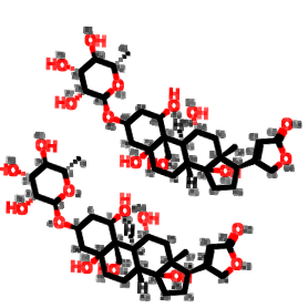 C[C@@H]1O[C@@H](O[C@H]2C[C@@H](O)[C@]3(CO)[C@H]4[C@H](O)C[C@]5(C)[C@@H](C6=CC(=O)OC6)CC[C@]5(O)[C@@H]4CC[C@]3(O)C2)[C@H](O)[C@H](O)[C@H]1O.C[C@@H]1O[C@@H](O[C@H]2C[C@@H](O)[C@]3(CO)[C@H]4[C@H](O)C[C@]5(C)[C@@H](C6=CC(=O)OC6)CC[C@]5(O)[C@@H]4CC[C@]3(O)C2)[C@H](O)[C@H](O)[C@H]1O